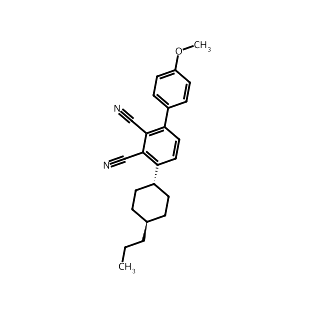 CCC[C@H]1CC[C@H](c2ccc(-c3ccc(OC)cc3)c(C#N)c2C#N)CC1